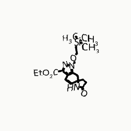 CCOC(=O)c1nn(COCC[Si](C)(C)C)c2c1CCC1(CCC(=O)N1)C2